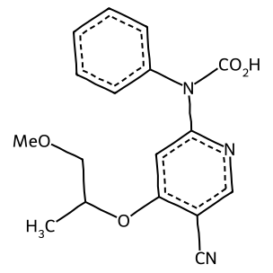 COCC(C)Oc1cc(N(C(=O)O)c2ccccc2)ncc1C#N